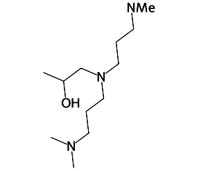 CNCCCN(CCCN(C)C)CC(C)O